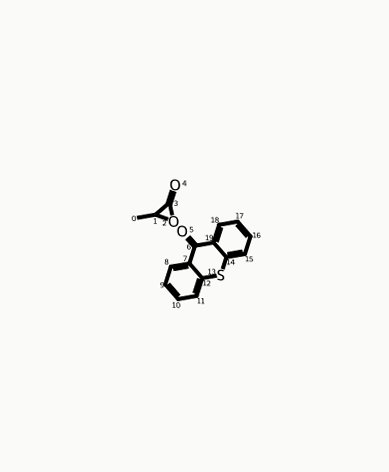 CC1OC1=O.O=c1c2ccccc2sc2ccccc12